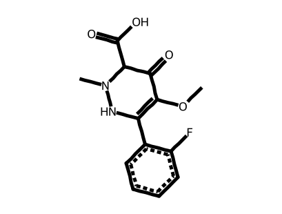 COC1=C(c2ccccc2F)NN(C)C(C(=O)O)C1=O